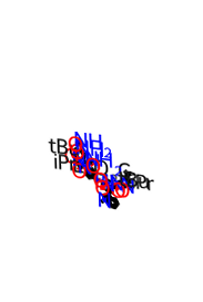 CCOC(=O)/C(C)=C/C(C(C)C)N(C)C(=O)[C@@H](NC(=O)[C@@H](N(C)C(=O)OCc1ccc(N(C(=O)[C@@H](NC(=O)OC(C)(C)C)C(C)C)[C@@H](CCCNC(N)=O)C(N)=O)cc1)C(C)(C)c1cn(C)c2ccccc12)C(C)(C)C